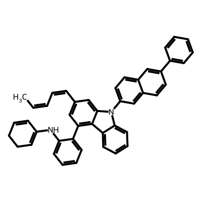 C/C=C\C=C/c1cc(-c2ccccc2NC2=CCCC=C2)c2c3ccccc3n(-c3ccc4cc(-c5ccccc5)ccc4c3)c2c1